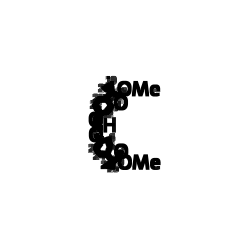 COC(=O)C1(c2ccc(OBOc3ccc(C4(C(=O)OC)CC4)cc3)cc2)CC1